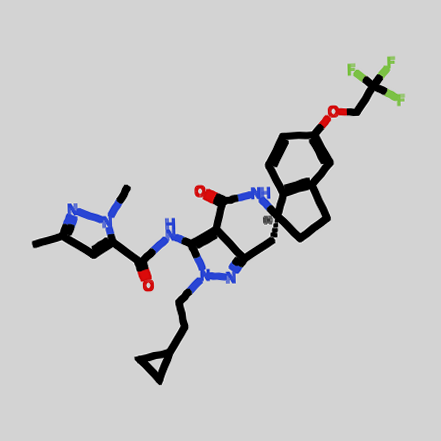 Cc1cc(C(=O)Nc2c3c(nn2CCC2CC2)C[C@]2(CCc4cc(OCC(F)(F)F)ccc42)NC3=O)n(C)n1